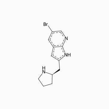 Brc1cnc2[nH]c(C[C@H]3CCCN3)cc2c1